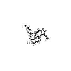 C[C@@H](Oc1nc(-c2cnc(C(C)(C)O)s2)cc2ncn(C3CC3)c12)C1CNC(=O)C1